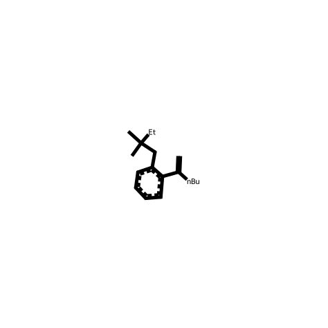 C=C(CCCC)c1ccccc1CC(C)(C)CC